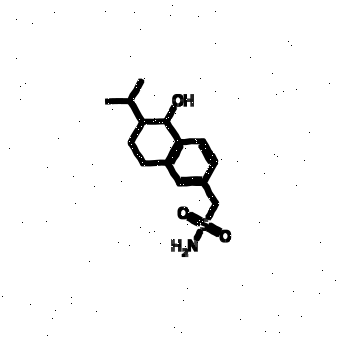 CC(C)C1CCc2cc(CS(N)(=O)=O)ccc2C1O